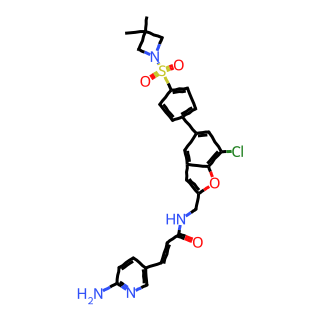 CC1(C)CN(S(=O)(=O)c2ccc(-c3cc(Cl)c4oc(CNC(=O)C=Cc5ccc(N)nc5)cc4c3)cc2)C1